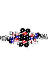 CCOCC(C(=O)Nc1cc(C[Si](OC)(OC)OC)ccn1)N1C(=O)c2cc(Oc3ccccc3C)c3c4c(Oc5ccccc5C)cc5c6c(cc(Oc7ccccc7C)c(c7c(Oc8ccccc8C)cc(c2c37)C1=O)c64)C(=O)N(C(COCC)C(=O)Nc1cc(C[Si](OC)(OC)OC)ccn1)C5=O